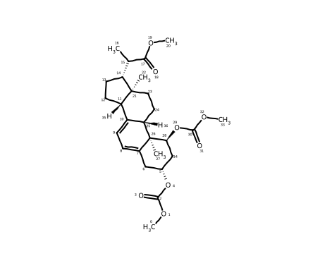 COC(=O)O[C@@H]1CC2=CC=C3[C@@H]4CC[C@H](C(C)C(=O)OC)[C@@]4(C)CC[C@@H]3[C@@]2(C)[C@@H](OC(=O)OC)C1